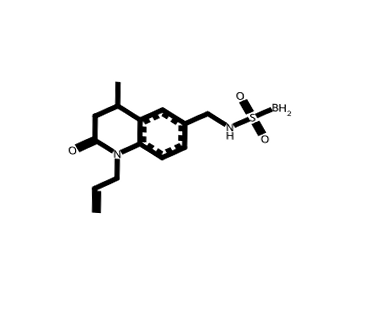 BS(=O)(=O)NCc1ccc2c(c1)C(C)CC(=O)N2CC=C